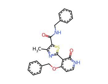 Cc1nc(-c2c(OCc3ccccc3)cc[nH]c2=O)sc1C(=O)NCc1ccccc1